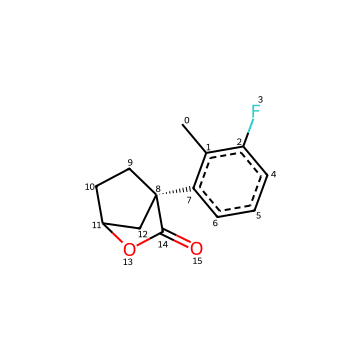 Cc1c(F)cccc1[C@@]12CCC(C1)OC2=O